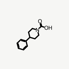 O=C(O)N1CCC(c2ccccc2)CC1